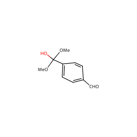 COC(O)(OC)c1ccc(C=O)cc1